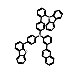 c1cc(-c2ccc3ccccc3c2)cc(N(c2ccc(-c3ccccc3-n3c4ccccc4c4ccccc43)cc2)c2ccc(-c3cccc4c3oc3ccccc34)cc2)c1